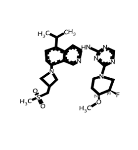 CO[C@H]1CCN(c2ncnc(Nc3cc4c(C(C)C)ccc(N5CC(CS(C)(=O)=O)C5)c4cn3)n2)C[C@H]1F